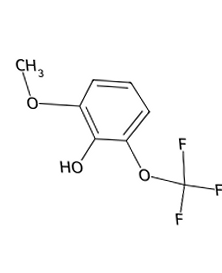 COc1cccc(OC(F)(F)F)c1O